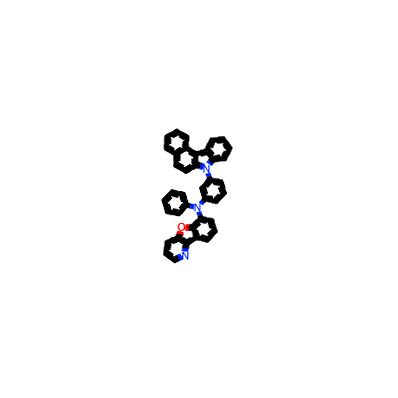 c1ccc(N(c2cccc(-n3c4ccccc4c4c5ccccc5ccc43)c2)c2cccc3c2oc2cccnc23)cc1